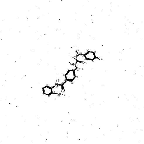 C[C@H](OC(=O)N[C@H](C)c1ccc(C(=O)Nc2ccccc2N)cc1)c1ccc(Cl)cc1